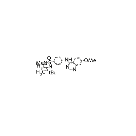 CNS(=O)(=NS(C)(C)C(C)(C)C)c1ccc(Nc2ncnc3cc(OC)ccc23)cc1